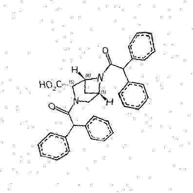 O=C(O)[C@@H]1[C@H]2C[C@@H](CN1C(=O)C(c1ccccc1)c1ccccc1)N2C(=O)C(c1ccccc1)c1ccccc1